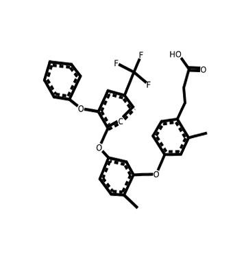 Cc1cc(Oc2cc(Oc3ccc(C(F)(F)F)cc3Oc3ccccc3)ccc2C)ccc1CCC(=O)O